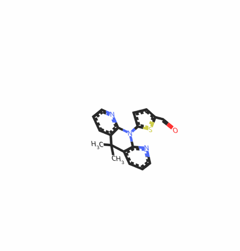 CC1(C)c2cccnc2N(c2ccc(C=O)s2)c2ncccc21